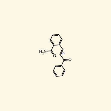 NC(=O)c1ccccc1/C=C/C(=O)c1ccccc1